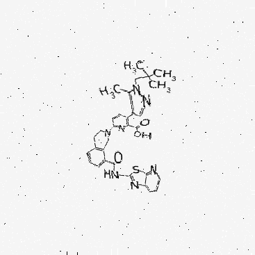 Cc1c(-c2ccc(N3CCc4cccc(C(=O)Nc5nc6cccnc6s5)c4C3)nc2C(=O)O)cnn1CC(C)(C)C